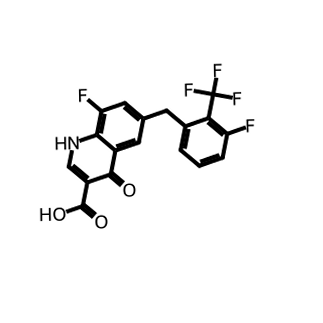 O=C(O)c1c[nH]c2c(F)cc(Cc3cccc(F)c3C(F)(F)F)cc2c1=O